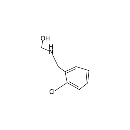 OCNCc1ccccc1Cl